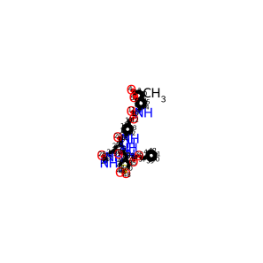 Cc1cc(=O)oc2cc(NC(=O)OCc3ccc(NC(=O)[C@H](CCCNC(N)=O)NC(=O)[C@@H](NC(=O)OCc4ccccc4)C4CCS(=O)(=O)CC4)cc3)ccc12